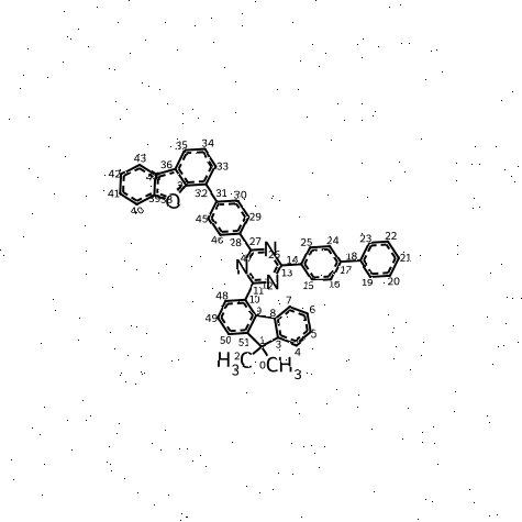 CC1(C)c2ccccc2-c2c(-c3nc(-c4ccc(-c5ccccc5)cc4)nc(-c4ccc(-c5cccc6c5oc5ccccc56)cc4)n3)cccc21